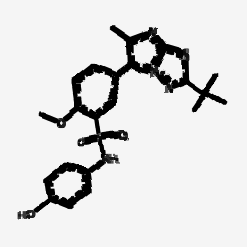 COc1ccc(-c2c(C)nc3sc(C(C)(C)C)nn23)cc1S(=O)(=O)Nc1ccc(O)cc1